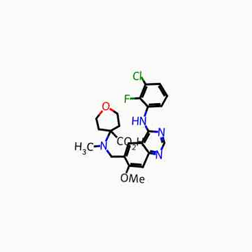 COc1cc2ncnc(Nc3cccc(Cl)c3F)c2cc1CN(C)C1(C(=O)O)CCOCC1